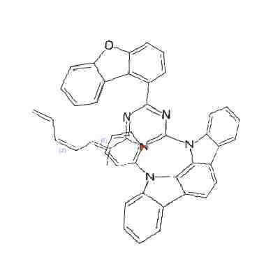 C=C/C=C\C=C(/C)c1nc(-c2cccc3oc4ccccc4c23)nc(-n2c3ccccc3c3ccc4c5ccccc5n(-c5ccccc5)c4c32)n1